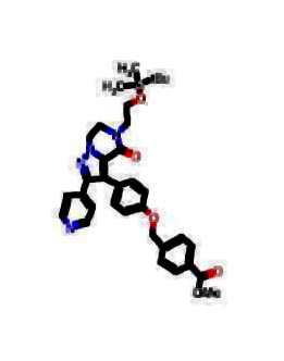 COC(=O)c1ccc(COc2ccc(-c3c(-c4ccncc4)nn4c3C(=O)N(CCO[Si](C)(C)C(C)(C)C)CC4)cc2)cc1